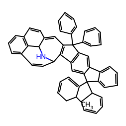 CC1CC=CC=C1C1(C2C=CC=CC2)c2ccccc2-c2cc3c(cc21)C1=C(C=C2C=Cc4cccc5c4C2NC1C=C5)C3(c1ccccc1)c1ccccc1